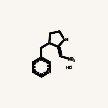 Cl.O=[N+]([O-])C=C1NCCN1Cc1cccnc1